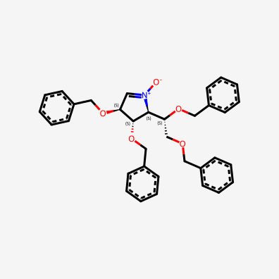 [O-][N+]1=C[C@H](OCc2ccccc2)[C@@H](OCc2ccccc2)[C@@H]1[C@@H](COCc1ccccc1)OCc1ccccc1